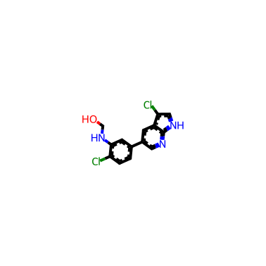 OCNc1cc(-c2cnc3[nH]cc(Cl)c3c2)ccc1Cl